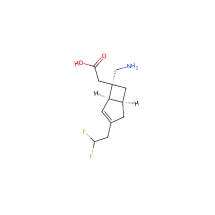 NC[C@]1(CC(=O)O)C[C@H]2CC(CC(F)F)=C[C@H]21